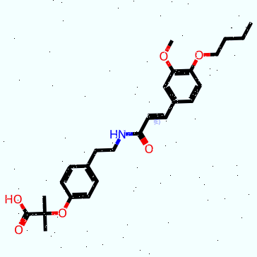 CCCCOc1ccc(/C=C/C(=O)NCCc2ccc(OC(C)(C)C(=O)O)cc2)cc1OC